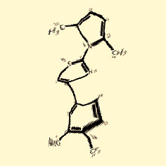 COc1cc(-c2csc(-n3c(C)ccc3C)n2)ccc1C(F)(F)F